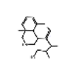 C/C=C(/C(C)C(C)CO)C1CNCC2(C)C=CC=C(C)C12